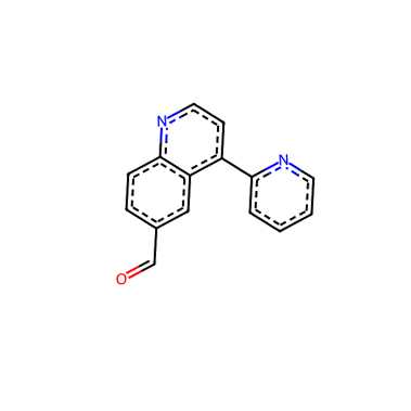 O=Cc1ccc2nccc(-c3ccccn3)c2c1